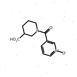 O=C(O)C1CCCN(C(=O)c2ccc[n+]([O-])c2)C1